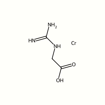 N=C(N)NCC(=O)O.[Cr]